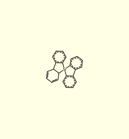 C1=CC2c3ccccc3[Si]3(c4ccccc4-c4ccccc43)C2C=C1